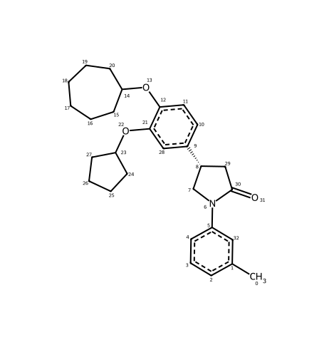 Cc1cccc(N2C[C@H](c3ccc(OC4CCCCCC4)c(OC4CCCC4)c3)CC2=O)c1